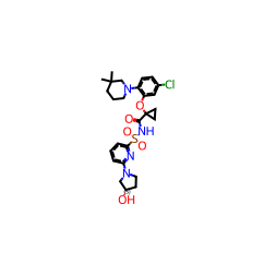 CC1(C)CCCN(c2ccc(Cl)cc2OC2(C(=O)NS(=O)(=O)c3cccc(N4CC[C@H](O)C4)n3)CC2)C1